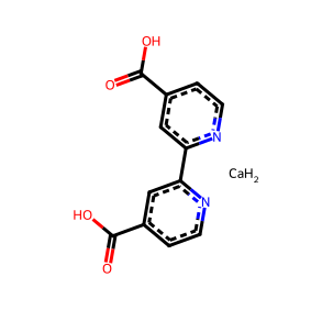 O=C(O)c1ccnc(-c2cc(C(=O)O)ccn2)c1.[CaH2]